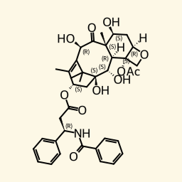 CC(=O)O[C@@]12CO[C@@H]1C[C@H](O)[C@@]1(C)C(=O)[C@H](O)C3=C(C)[C@@H](OC(=O)C[C@@H](NC(=O)c4ccccc4)c4ccccc4)C[C@@](O)([C@@H](O)[C@H]21)C3(C)C